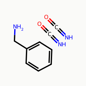 N=C=O.N=C=O.NCc1ccccc1